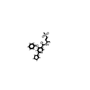 CC(C=CS(C)(=O)=O)NC(=O)c1cnc(C2=CCCC2)cc1Oc1ccccc1